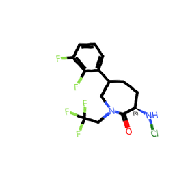 O=C1[C@H](NCl)CCC(c2cccc(F)c2F)CN1CC(F)(F)F